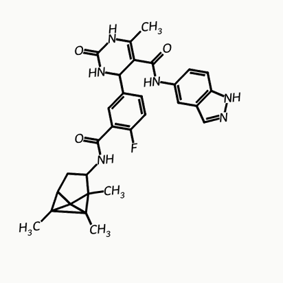 CC1=C(C(=O)Nc2ccc3[nH]ncc3c2)C(c2ccc(F)c(C(=O)NC3CC4C5(C)C6(C)C3(C)C456)c2)NC(=O)N1